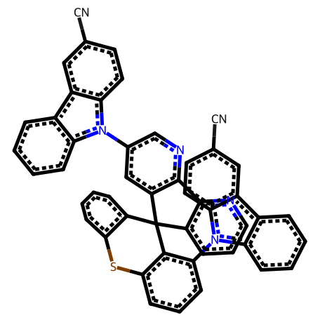 N#Cc1ccc2c(c1)c1ccccc1n2-c1cnc2c(c1)C1(c3ccccc3Sc3cccc(-n4c5ccccc5c5cc(C#N)ccc54)c31)c1cccnc1-2